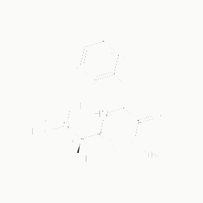 C[C@H](C(=O)N[C@H](Cc1ccccc1)C(=O)OC(C)(C)C)N(C)C